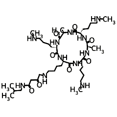 CNCCCC[C@@H]1NC(=O)[C@@H](C)NC(=O)[C@H](CCCCNC)NC(=O)[C@@H](CCCCNCC(=O)CC(=O)NCC(C)C)NC(=O)[C@H](CCCCNC)NC(=O)[C@@H](C)NC1=O